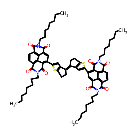 CCCCCCCCN1C(=O)c2ccc3c4c(c(-c5cc6c(s5)CC/C6=C5/CCc6sc(-c7cc8c9c(ccc%10c9c7C(=O)N(CCCCCCCC)C%10=O)C(=O)N(CCCCCCCC)C8=O)cc65)cc(c24)C1=O)C(=O)N(CCCCCCCC)C3=O